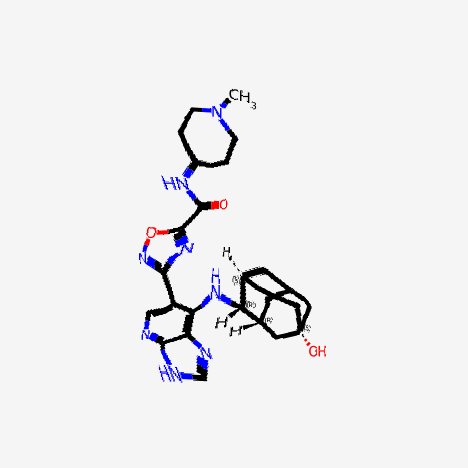 CN1CCC(NC(=O)c2nc(-c3cnc4[nH]cnc4c3N[C@H]3[C@@H]4CC5C[C@H]3C[C@@](O)(C5)C4)no2)CC1